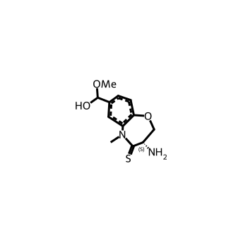 COC(O)c1ccc2c(c1)N(C)C(=S)[C@@H](N)CO2